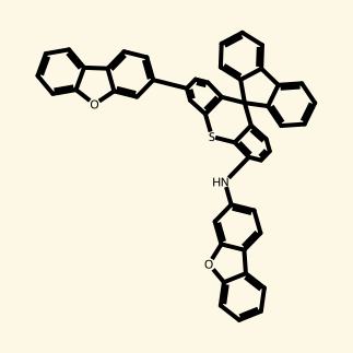 c1ccc2c(c1)-c1ccccc1C21c2ccc(-c3ccc4c(c3)oc3ccccc34)cc2Sc2c(Nc3ccc4c(c3)oc3ccccc34)cccc21